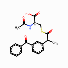 CC(=O)N[C@H](CSC(=O)C(C)c1cccc(C(=O)c2ccccc2)c1)C(=O)O